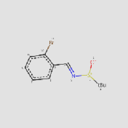 CC(C)(C)[S+]([O-])N=Cc1ccccc1Br